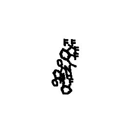 C[C@@H](NC(=O)c1ccc(=O)n(-c2ccccc2F)n1)c1cccc(C(F)(F)F)c1F